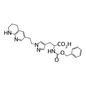 O=C(NC(Cc1cnn(CCc2cnc3c(c2)CCCN3)c1)C(=O)O)OCc1ccccc1